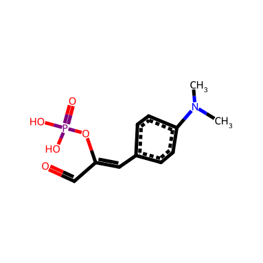 CN(C)c1ccc(C=C(C=O)OP(=O)(O)O)cc1